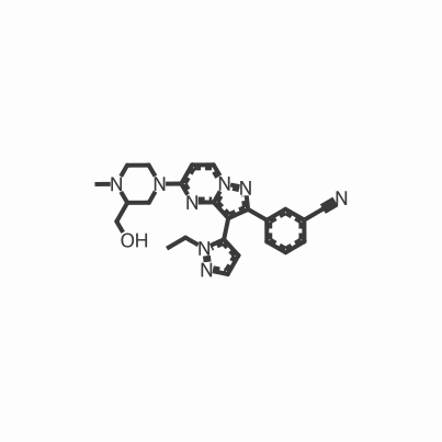 CCn1nccc1-c1c(-c2cccc(C#N)c2)nn2ccc(N3CCN(C)C(CO)C3)nc12